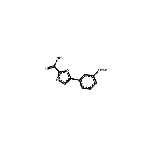 COc1cccc(-c2cnc(C(N)=O)o2)c1